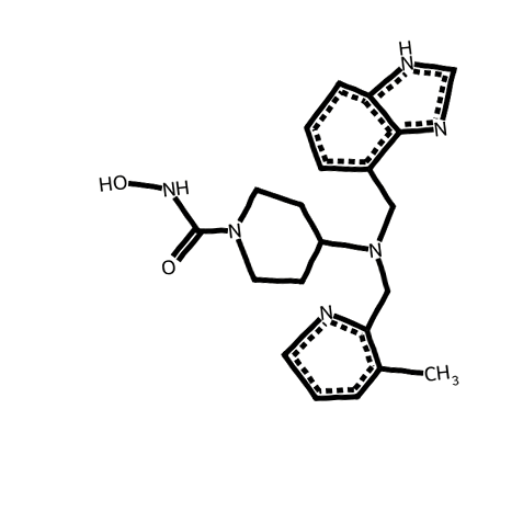 Cc1cccnc1CN(Cc1cccc2[nH]cnc12)C1CCN(C(=O)NO)CC1